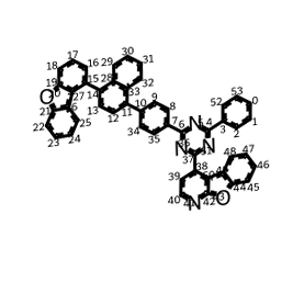 c1ccc(-c2nc(-c3ccc(-c4ccc(-c5cccc6oc7ccccc7c56)c5ccccc45)cc3)nc(-c3ccnc4oc5ccccc5c34)n2)cc1